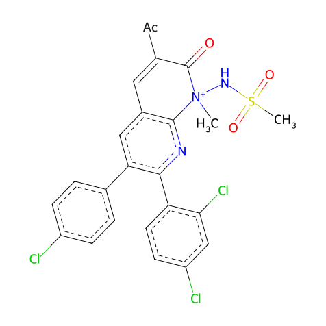 CC(=O)C1=Cc2cc(-c3ccc(Cl)cc3)c(-c3ccc(Cl)cc3Cl)nc2[N+](C)(NS(C)(=O)=O)C1=O